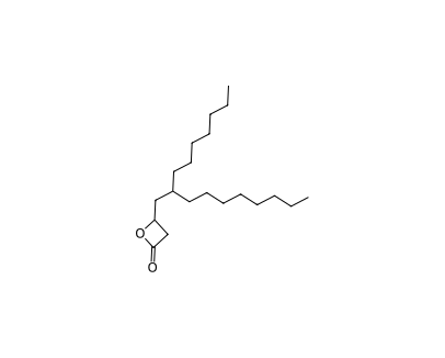 CCCCCCCCC(CCCCCCC)CC1CC(=O)O1